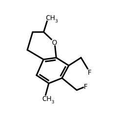 Cc1cc2c(c(CF)c1CF)OC(C)CC2